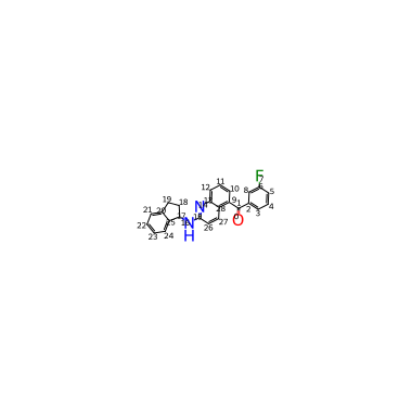 O=C(c1cccc(F)c1)c1cccc2nc(N[C@@H]3CCc4ccccc43)ccc12